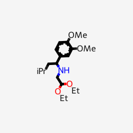 CCOC(CNC(CC(C)C)c1ccc(OC)c(OC)c1)OCC